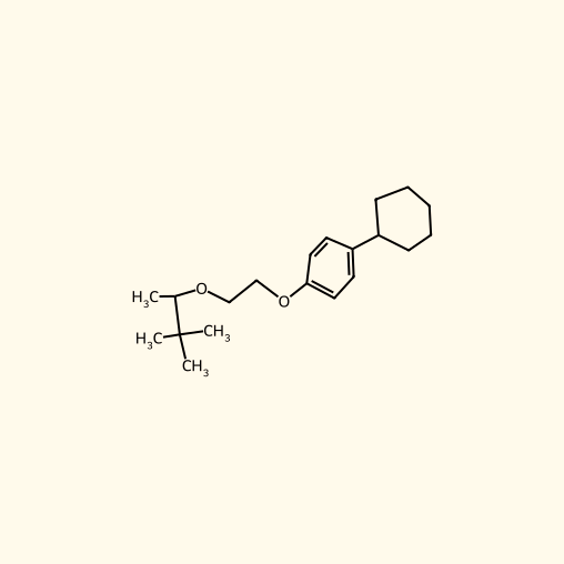 CC(OCCOc1ccc(C2CCCCC2)cc1)C(C)(C)C